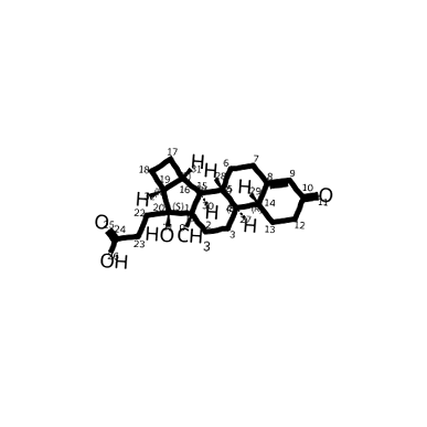 C[C@]12CC[C@H]3[C@@H](CCC4=CC(=O)CC[C@@H]43)[C@@H]1[C@H]1CC[C@H]1[C@@]2(O)CCC(=O)O